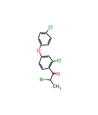 CC(Br)C(=O)c1ccc(Oc2ccc(Cl)cc2)cc1Cl